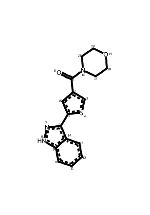 O=C(c1csc(-c2n[nH]c3ccccc23)c1)N1CCOCC1